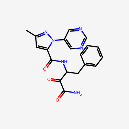 Cc1cc(C(=O)NC(Cc2ccccc2)C(=O)C(N)=O)n(-c2cncnc2)n1